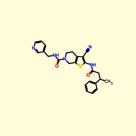 CC(CC(=O)Nc1sc2c(c1C#N)CCN(C(=O)NCc1cccnc1)C2)c1ccccc1